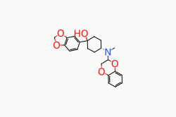 CN([C@H]1CC[C@@](O)(c2ccc3c(c2)OCO3)CC1)[C@@H]1COc2ccccc2O1